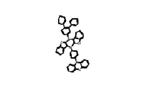 c1ccc(-c2ccc(B3c4oc5ccccc5c4B(c4ccc(N5c6ccccc6Sc6ccccc65)cc4)c4oc5ccccc5c43)cc2-c2ccccc2)cc1